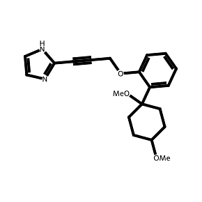 COC1CCC(OC)(c2ccccc2OCC#Cc2ncc[nH]2)CC1